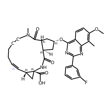 COc1ccc2c(O[C@@H]3C[C@H]4C(=O)N[C@]5(C(=O)O)C[C@@H]5/C=C\CCCCN(C)C(=O)[C@@H]4C3)nc(-c3cccc(F)c3)nc2c1C